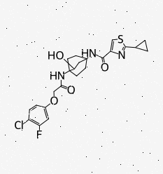 O=C(COc1ccc(Cl)c(F)c1)NC12CCC(NC(=O)c3csc(C4CC4)n3)(CC1)CC2O